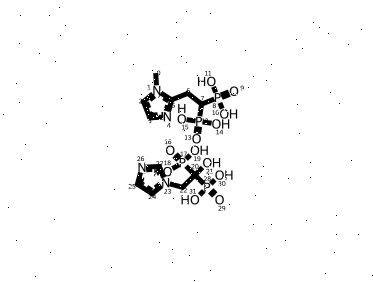 Cn1ccnc1CC(P(=O)(O)O)P(=O)(O)O.O=P(O)(O)C(O)(Cn1ccnc1)P(=O)(O)O